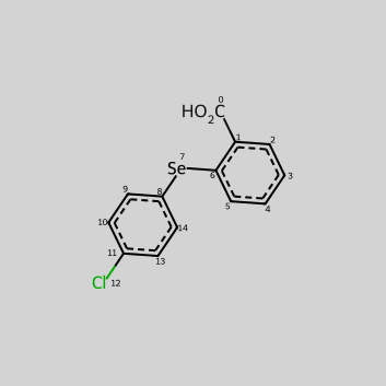 O=C(O)c1ccccc1[Se]c1ccc(Cl)cc1